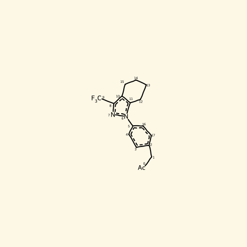 CC(=O)Cc1ccc(-n2nc(C(F)(F)F)c3c2CCCC3)cc1